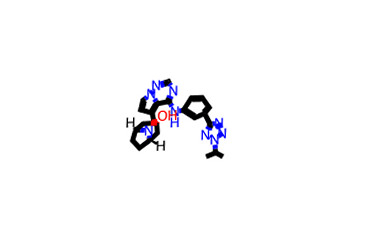 CC(C)n1nnc(-c2cccc(Nc3ncnn4ccc(CN5[C@@H]6CC[C@H]5CC(O)C6)c34)c2)n1